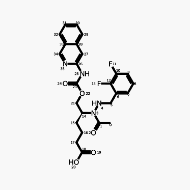 CC(=O)N(NCc1cccc(F)c1F)[C@@H](CCCC(=O)O)COC(=O)Nc1cc2ccccc2cn1